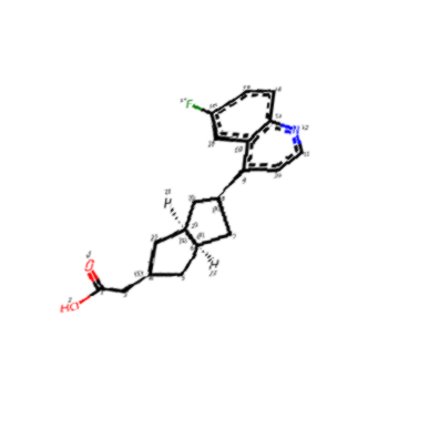 O=C(O)C[C@@H]1C[C@@H]2C[C@H](c3ccnc4ccc(F)cc34)C[C@@H]2C1